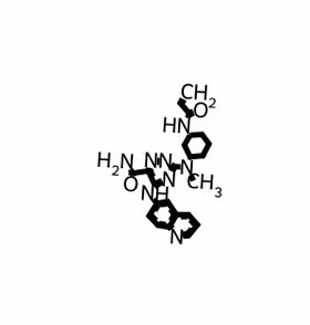 C=CC(=O)NC1CCC[C@@H](N(C)c2nnc(C(N)=O)c(Nc3ccc4ncccc4c3)n2)C1